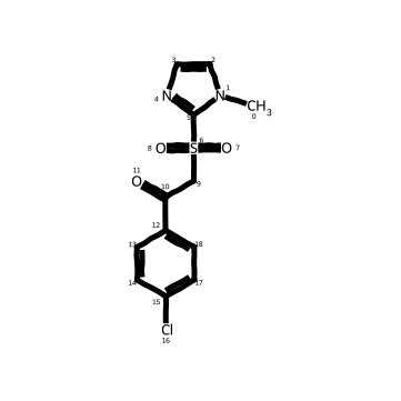 Cn1ccnc1S(=O)(=O)CC(=O)c1ccc(Cl)cc1